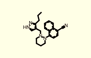 CCCc1n[nH]cc1CN1CCCCN1c1ccc(C#N)c2ccccc12